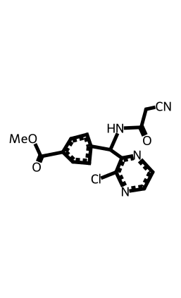 COC(=O)c1ccc(C(NC(=O)CC#N)c2nccnc2Cl)cc1